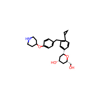 OC[C@@H]1C[C@H](O)C[C@H](c2ccc(C3CC3)c(Cc3ccc(OC4CCNCC4)cc3)c2)O1